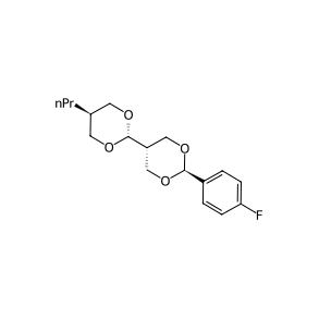 CCC[C@H]1CO[C@H]([C@H]2CO[C@H](c3ccc(F)cc3)OC2)OC1